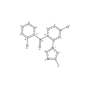 Cc1cn(-c2cc(Cl)ccc2C(=O)c2ccccc2Cl)cn1